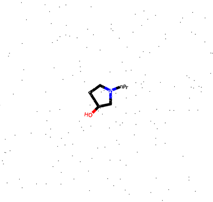 C[CH]CN1CCC(O)C1